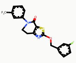 O=C1c2sc(OCc3cccc(F)c3)nc2CCN1c1cccc(C(F)(F)F)c1